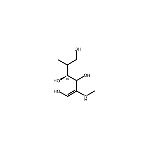 CNC(=CO)C(O)[C@@H](O)C(C)CO